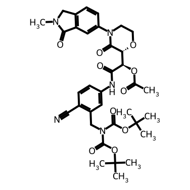 CC(=O)O[C@@H](C(=O)Nc1ccc(C#N)c(CN(C(=O)OC(C)(C)C)C(=O)OC(C)(C)C)c1)[C@H]1OCCN(c2ccc3c(c2)C(=O)N(C)C3)C1=O